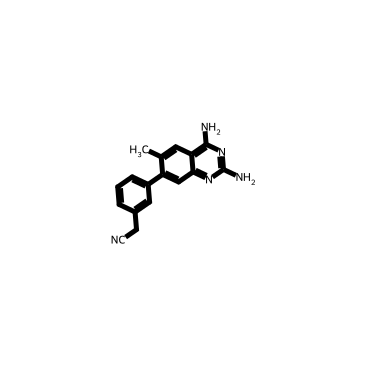 Cc1cc2c(N)nc(N)nc2cc1-c1cccc(CC#N)c1